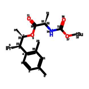 Cc1ccc([C@@H](C(C)C)[C@H](C)OC(=O)[C@H](C)NC(=O)OC(C)(C)C)c(C)c1